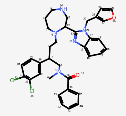 CN(CC(CCN1CCCNCC1c1nc2ccccc2n1Cc1ccoc1)c1ccc(Cl)c(Cl)c1)C(=O)c1ccccc1